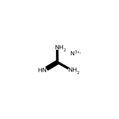 N=C(N)N.[N+3]